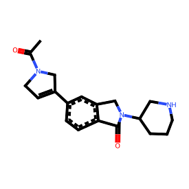 CC(=O)N1CC=C(c2ccc3c(c2)CN(C2CCCNC2)C3=O)C1